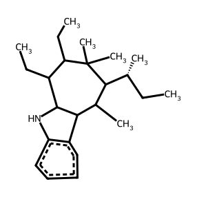 CCC1C2Nc3ccccc3C2C(C)C([C@H](C)CC)C(C)(C)C1CC